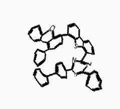 c1ccc(-c2ccc(-c3nc(-c4ccccc4)nc(-c4cccc5c4sc4c(-c6ccc(-c7ccccc7)c7c6oc6ccccc67)cccc45)n3)cc2)cc1